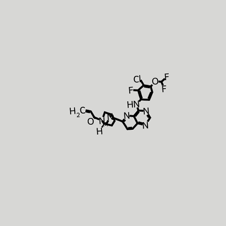 C=CC(=O)N1CC2CC[C@H]1CN2c1ccc2ncnc(Nc3ccc(OC(F)F)c(Cl)c3F)c2n1